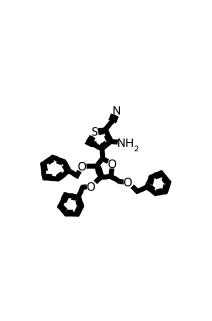 N#Cc1scc(C2OC(COCc3ccccc3)C(OCc3ccccc3)=C2OCc2ccccc2)c1N